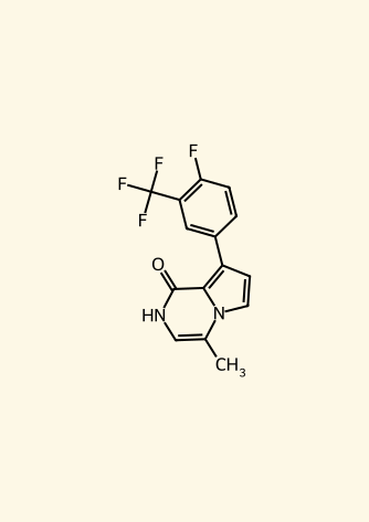 Cc1c[nH]c(=O)c2c(-c3ccc(F)c(C(F)(F)F)c3)ccn12